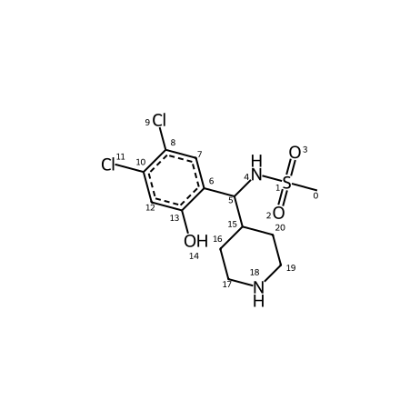 CS(=O)(=O)NC(c1cc(Cl)c(Cl)cc1O)C1CCNCC1